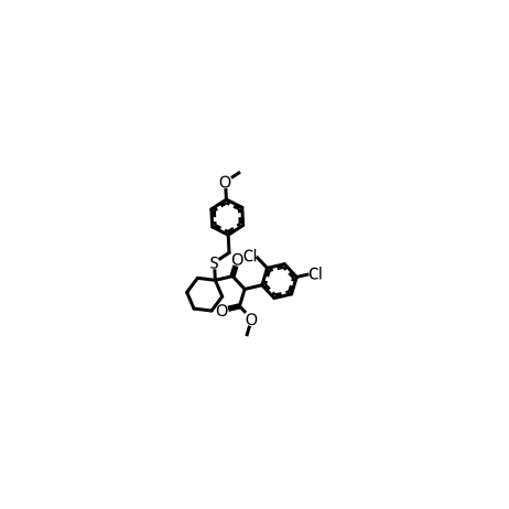 COC(=O)C(C(=O)C1(SCc2ccc(OC)cc2)CCCCC1)c1ccc(Cl)cc1Cl